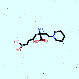 NC(CCCCB(O)O)(CCN1CCCCC1)C(=O)O